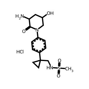 CS(=O)(=O)NCC1(c2ccc(N3CC(O)CC(N)C3=O)cc2)CC1.Cl